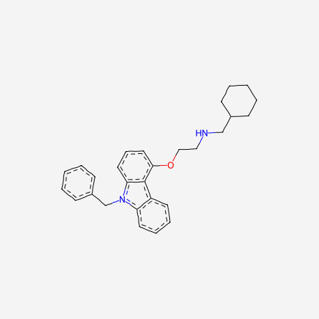 c1ccc(Cn2c3ccccc3c3c(OCCNCC4CCCCC4)cccc32)cc1